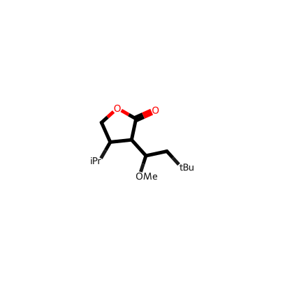 COC(CC(C)(C)C)C1C(=O)OCC1C(C)C